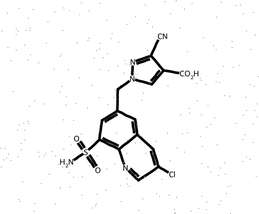 N#Cc1nn(Cc2cc(S(N)(=O)=O)c3ncc(Cl)cc3c2)cc1C(=O)O